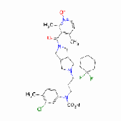 Cc1ccc(N(CCCN2CC3CN(C(=O)c4c(C)cc[n+]([O-])c4C)CC3C2)C(=O)O)cc1Cl.FC1(F)CCCCC1